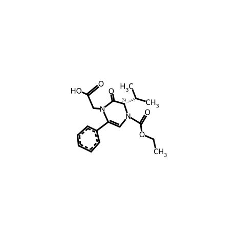 CCOC(=O)N1C=C(c2ccccc2)N(CC(=O)O)C(=O)[C@@H]1C(C)C